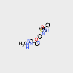 CNc1nccc(-c2cccnc2Oc2ccc(/N=C(/NC(=O)c3ccccc3)SC)cc2)n1